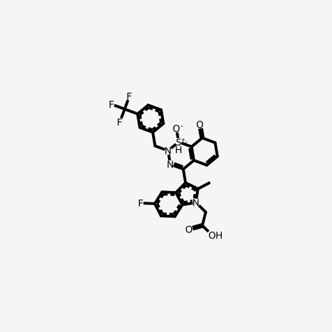 Cc1c(C2=NN(Cc3cccc(C(F)(F)F)c3)[SH+]([O-])C3=C2C=CCC3=O)c2cc(F)ccc2n1CC(=O)O